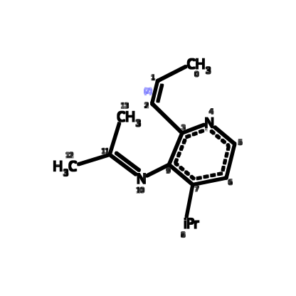 C/C=C\c1nccc(C(C)C)c1N=C(C)C